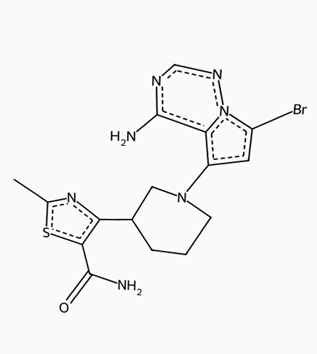 Cc1nc(C2CCCN(c3cc(Br)n4ncnc(N)c34)C2)c(C(N)=O)s1